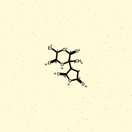 CCC1OC(=O)C(C)(C2CC(=O)OC2=O)OC1=O